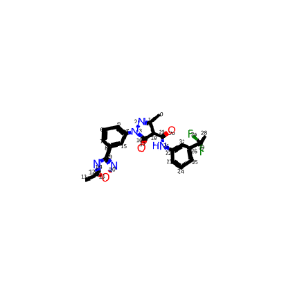 CC1=NN(c2cccc(-c3noc(C)n3)c2)C(=O)C1C(=O)Nc1cccc(C(C)(F)F)c1